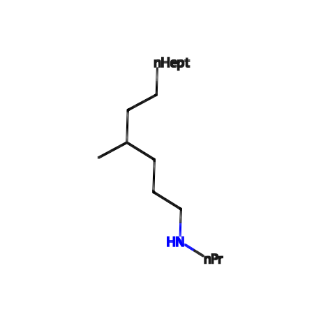 CCCCCCCCCC(C)CCCNCCC